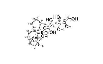 Cc1ccccc1OP(O)(OC(O)[C@H](O)[C@@H](O)[C@H](O)[C@H](O)CO)(c1ccccc1C)c1ccccc1C